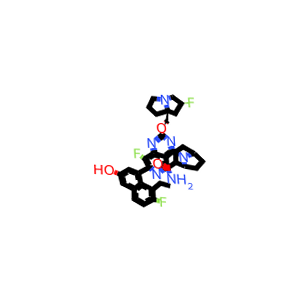 CCc1c(F)ccc2cc(O)cc(-c3ncc4c(N5C6CCC(C(N)=O)C5CC6)nc(OC[C@@]56CCCN5C[C@H](F)C6)nc4c3F)c12